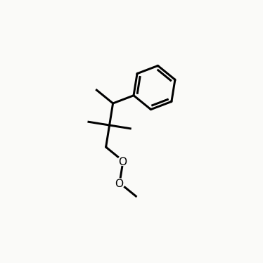 COOCC(C)(C)C(C)c1ccccc1